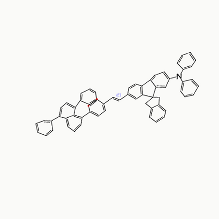 C(=C\c1ccc2c(c1)C1(Cc3ccccc3C1)c1cc(N(c3ccccc3)c3ccccc3)ccc1-2)/c1ccc(-c2cccc3c(-c4ccccc4)ccc(-c4ccccc4)c23)cc1